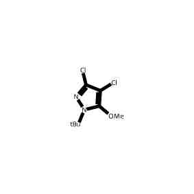 COc1c(Cl)c(Cl)nn1C(C)(C)C